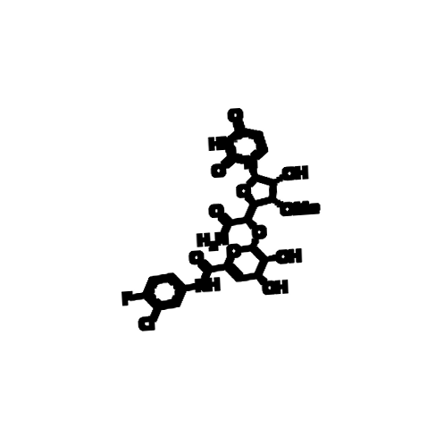 CO[C@H]1[C@@H](O)[C@H](n2ccc(=O)[nH]c2=O)O[C@@H]1[C@@H](O[C@H]1OC(C(=O)Nc2ccc(F)c(Cl)c2)=C[C@H](O)[C@@H]1O)C(N)=O